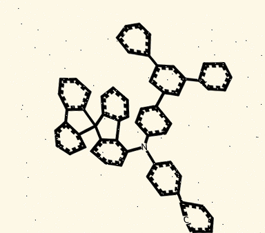 c1ccc(-c2ccc(N(c3ccc(-c4cc(-c5ccccc5)cc(-c5ccccc5)c4)cc3)c3cccc4c3-c3ccccc3C43c4ccccc4-c4ccccc43)cc2)cc1